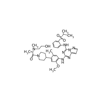 COc1cc(C2CCN(C(=O)[C@@H](C)N(C)CCO)CC2)c(C)cc1Nc1nc(Nc2ccccc2S(=O)(=O)C(C)C)n2nccc2n1